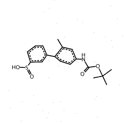 Cc1cc(NC(=O)OC(C)(C)C)ccc1-c1cccc(S(=O)O)c1